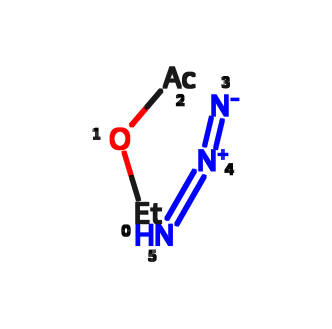 CCOC(C)=O.[N-]=[N+]=N